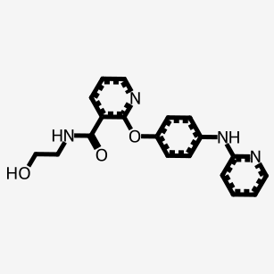 O=C(NCCO)c1cccnc1Oc1ccc(Nc2ccccn2)cc1